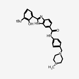 CN1CCN(Cc2ccc(NC(=O)c3ccc4nc(-c5cccc(C(C)(C)C)c5O)[nH]c4c3)cc2)CC1